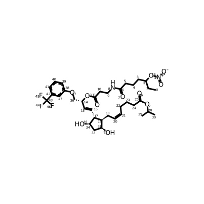 CCC(CCCC(=O)NCCC(=O)O[C@H](/C=C/[C@@H]1[C@@H](C/C=C\CCCC(=O)OC(C)C)[C@@H](O)C[C@H]1O)COc1cccc(C(F)(F)F)c1)O[N+](=O)[O-]